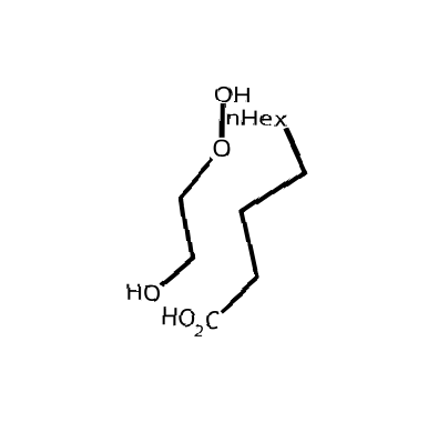 CCCCCCCCCC(=O)O.OCCOO